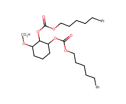 CC(C)CCCCCOC(=O)OC1CCCC(OC(=O)O)C1OC(=O)OCCCCCC(C)C